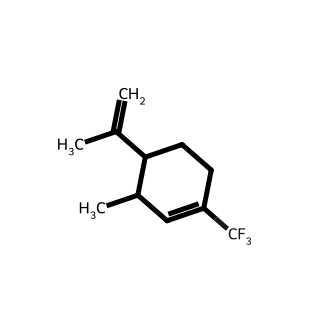 C=C(C)C1CCC(C(F)(F)F)=CC1C